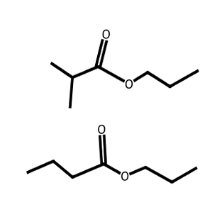 CCCOC(=O)C(C)C.CCCOC(=O)CCC